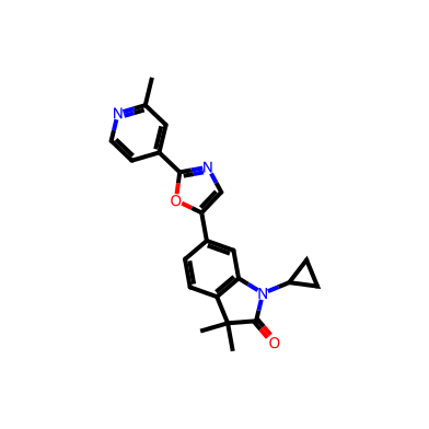 Cc1cc(-c2ncc(-c3ccc4c(c3)N(C3CC3)C(=O)C4(C)C)o2)ccn1